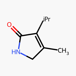 CC1=C(C(C)C)C(=O)NC1